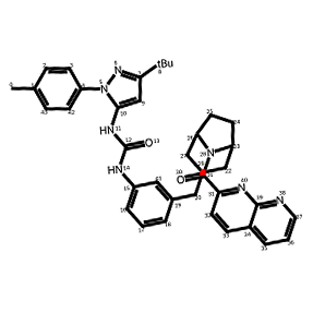 Cc1ccc(-n2nc(C(C)(C)C)cc2NC(=O)Nc2cccc(CC3CC4CCC(C3)N4C(=O)c3ccc4cccnc4n3)c2)cc1